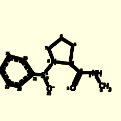 CNC(=O)C1CCCN1[S+]([O-])c1ccccc1